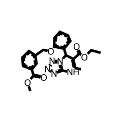 CCOC(=O)C1=C(C)Nc2nnnn2C1c1ccccc1OCc1cccc(C(=O)OC)c1